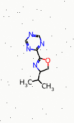 CC(C)C1COC(c2ncncn2)=N1